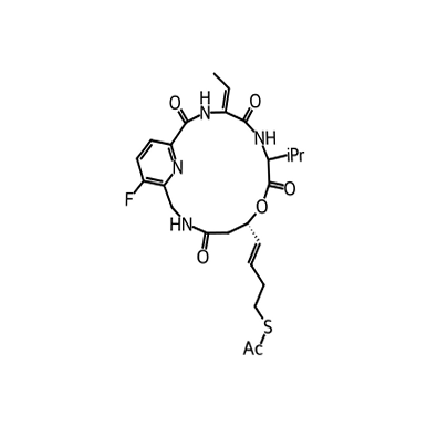 C/C=C1\NC(=O)c2ccc(F)c(n2)CNC(=O)C[C@@H](/C=C/CCSC(C)=O)OC(=O)C(C(C)C)NC1=O